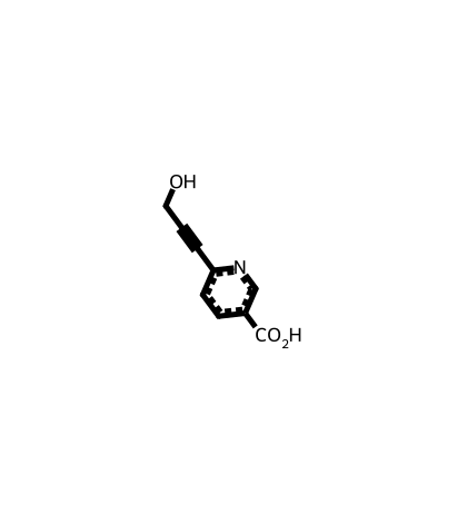 O=C(O)c1ccc(C#CCO)nc1